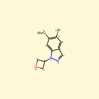 COc1cc2c(cnn2C2COC2)cc1Br